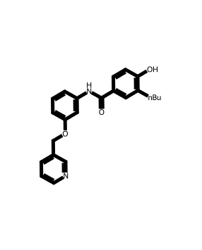 CCCCc1cc(C(=O)Nc2cccc(OCc3cccnc3)c2)ccc1O